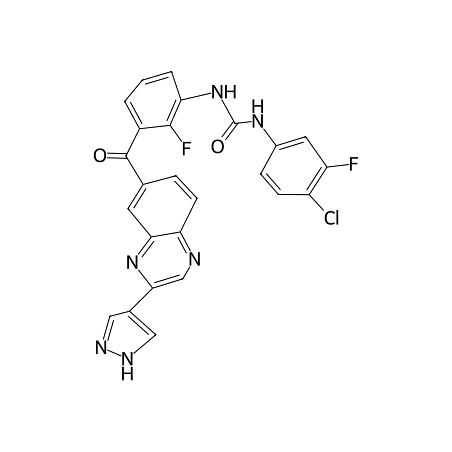 O=C(Nc1ccc(Cl)c(F)c1)Nc1cccc(C(=O)c2ccc3ncc(-c4cn[nH]c4)nc3c2)c1F